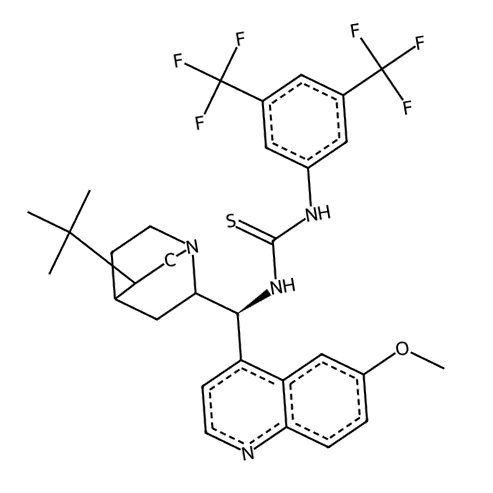 COc1ccc2nccc([C@H](NC(=S)Nc3cc(C(F)(F)F)cc(C(F)(F)F)c3)C3CC4CCN3CC4C(C)(C)C)c2c1